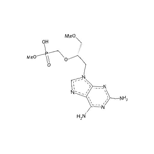 COC[C@H](Cn1cnc2c(N)nc(N)nc21)OCP(=O)(O)OC